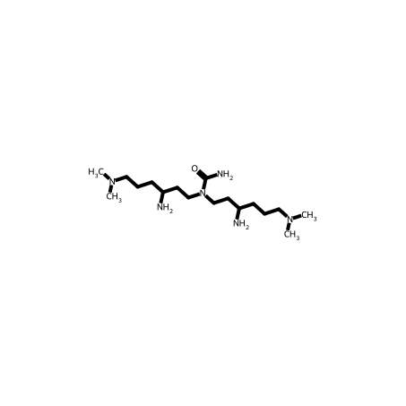 CN(C)CCCC(N)CCN(CCC(N)CCCN(C)C)C(N)=O